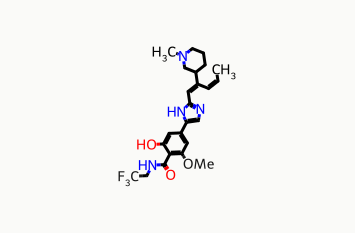 C/C=C\C(=C/c1ncc(-c2cc(O)c(C(=O)NCC(F)(F)F)c(OC)c2)[nH]1)C1CCCN(C)C1